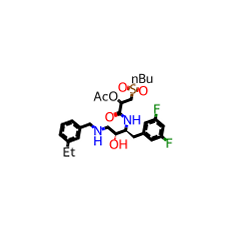 CCCCS(=O)(=O)CC(OC(C)=O)C(=O)N[C@@H](Cc1cc(F)cc(F)c1)[C@H](O)CNCc1cccc(CC)c1